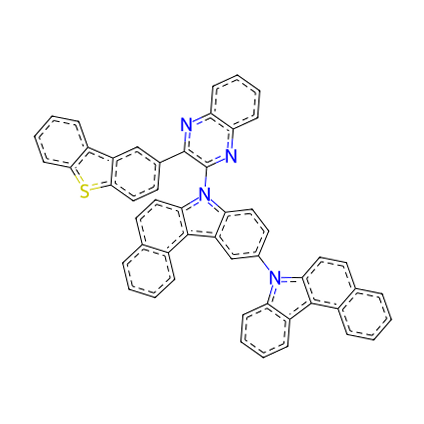 c1ccc2c(c1)ccc1c2c2ccccc2n1-c1ccc2c(c1)c1c3ccccc3ccc1n2-c1nc2ccccc2nc1-c1ccc2sc3ccccc3c2c1